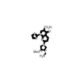 CCOC(=O)c1cn(-c2nccs2)c2nc(N3C[C@H](CN)[C@@H](OC)C3)ccc2c1=O